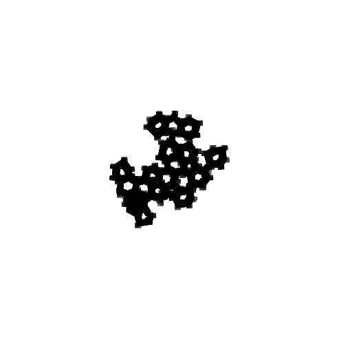 C1=Nc2c(cccc2-c2cnc3c(n2)c2cccc4c5ccc(-c6ccccc6)c6c7nccnc7n(c(=C(c7ccc(N8c9ccccc9Oc9ccccc98)cc7)c7ccc(N8c9ccccc9Oc9ccccc98)cc7)n3c42)c56)C1